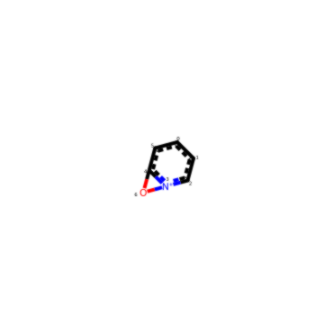 c1cc[n+]2c(c1)O2